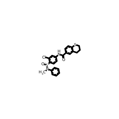 CN(c1ccccc1)[S+]([O-])c1ccc(NC(=O)c2ccc3c(c2)CCCS3)cc1Cl